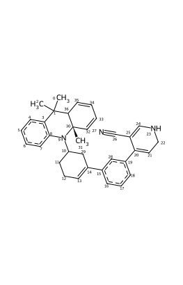 CC1(C)c2ccccc2N(C2CCC=C(c3cccc(C4=CCNC=C4C#N)c3)C2)[C@@]2(C)C=CC=CC12